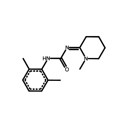 Cc1cccc(C)c1NC(=O)/N=C1/CCCCN1C